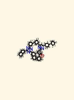 c1ccc(-c2ccc(-c3cc(-c4cccc(-c5cccc(-c6nc(-c7ccc8ccccc8c7)nc(-c7ccc8ccccc8c7)n6)c5)c4)nc(-c4ccc5c(c4)oc4ccccc45)n3)cc2)cc1